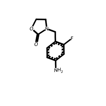 Nc1ccc(CN2CCOC2=O)c(F)c1